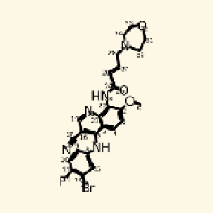 COc1ccc2c(Nc3ccc(F)c(Br)c3)c(C#N)cnc2c1NC(=O)C=CCN1CCOCC1